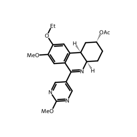 CCOc1cc2c(cc1OC)C(c1cnc(OC)nc1)=N[C@@H]1CC[C@@H](OC(C)=O)C[C@H]21